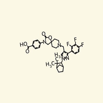 CC1(C)C2CCC(C2)C1n1cc(CN2CCC3(CC2)CN(c2ccc(C(=O)O)cc2)C(=O)O3)c(-c2ccc(F)c(F)c2F)n1